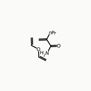 C=C(CCC)C(N)=O.C=COC=C